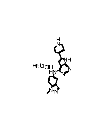 Cl.Cl.Cl.Cn1ncc2cc(Nc3ncnc4[nH]c(C5=CCNCC5)cc34)ccc21